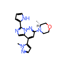 C[C@@H]1COCCN1c1cc(-c2ccnn2C)c2cnc(-c3ccc[nH]3)n2n1